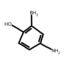 Bc1cc(N)ccc1O